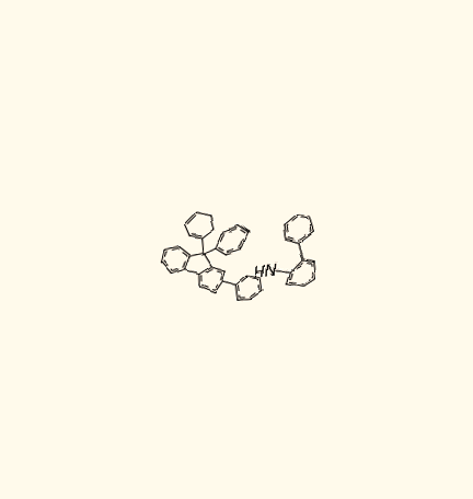 C1=CCCC(C2(c3ccccc3)c3ccccc3-c3ccc(-c4cccc(Nc5ccccc5-c5ccccc5)c4)cc32)=C1